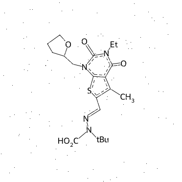 CCn1c(=O)c2c(C)c(/C=N/N(C(=O)O)C(C)(C)C)sc2n(CC2CCCO2)c1=O